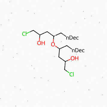 CCCCCCCCCCCC(CC(O)CCl)OC(CCCCCCCCCCC)CC(O)CCl